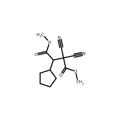 COC(=O)C(C1CCCC1)C(C#N)(C#N)C(=O)OC